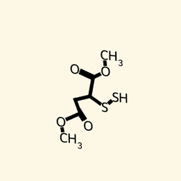 COC(=O)CC(SS)C(=O)OC